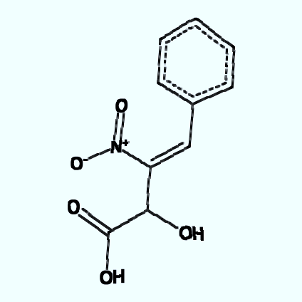 O=C(O)C(O)C(=Cc1ccccc1)[N+](=O)[O-]